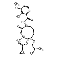 COc1ccnc(C(=O)N[C@H]2CCC[C@H](OCC(C)C)[C@@H](OC(=O)C3CC3)[C@H](C)OC2=O)c1O